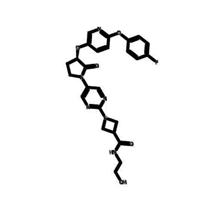 O=C(NCCO)C1CN(c2ncc(N3CC[C@@H](Oc4ccc(Oc5ccc(F)cc5)nc4)C3=O)cn2)C1